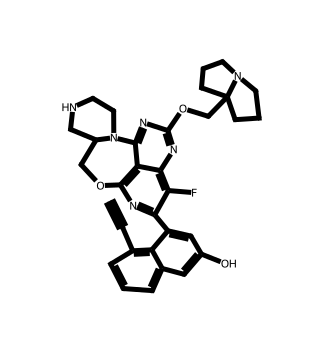 C#Cc1cccc2cc(O)cc(-c3nc4c5c(nc(OCC67CCCN6CCC7)nc5c3F)N3CCNCC3CO4)c12